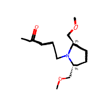 COC[C@H]1CC[C@H](COC)N1CCCC(C)=O